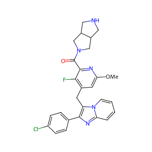 COc1cc(Cc2c(-c3ccc(Cl)cc3)nc3ccccn23)c(F)c(C(=O)N2CC3CNCC3C2)n1